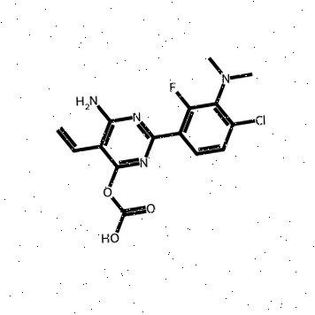 C=Cc1c(N)nc(-c2ccc(Cl)c(N(C)C)c2F)nc1OC(=O)O